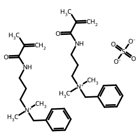 C=C(C)C(=O)NCCC[N+](C)(C)Cc1ccccc1.C=C(C)C(=O)NCCC[N+](C)(C)Cc1ccccc1.O=S(=O)([O-])[O-]